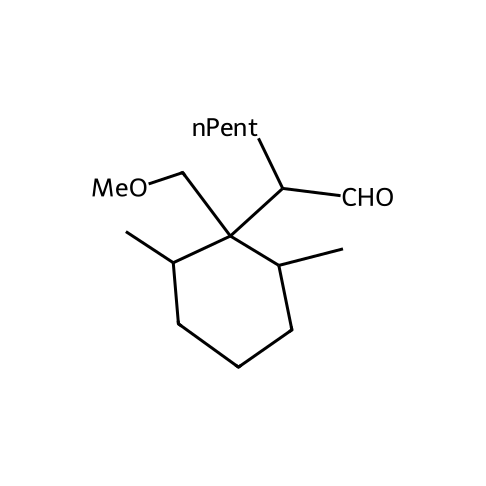 CCCCCC(C=O)C1(COC)C(C)CCCC1C